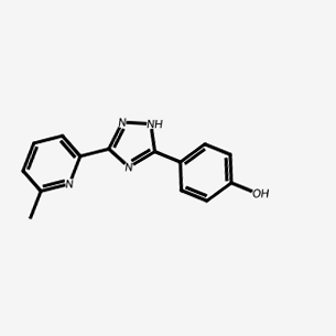 Cc1cccc(-c2n[nH]c(-c3ccc(O)cc3)n2)n1